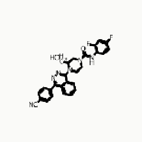 CC1CN(C(=O)Nc2ccc(F)cc2F)CCN1c1nnc(-c2ccc(C#N)cc2)c2ccccc12.Cl